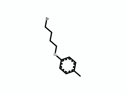 Cc1ccc(OCCCCBr)cc1